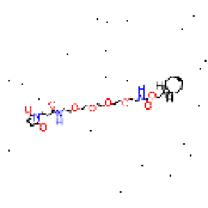 O=C(CCN1C(=O)C=CC1=O)NCCOCCOCCOCCOCCNC(=O)OC[C@@H]1[C@@H]2CCC#CCC[C@@H]21